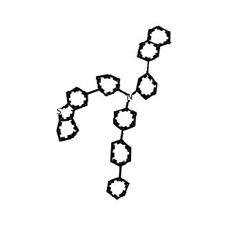 c1ccc(-c2ccc(-c3ccc(N(c4cccc(-c5ccc6ccccc6c5)c4)c4cccc(-c5ccc6sc7ccccc7c6c5)c4)cc3)cc2)cc1